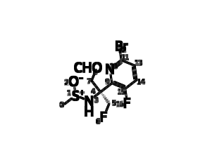 C[S+]([O-])N[C@@](CF)(CC=O)c1nc(Br)ccc1F